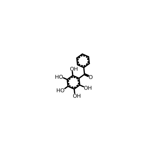 O=C(c1ccccc1)c1c(O)c(O)c(O)c(O)c1O